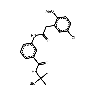 COc1ccc(Cl)cc1CC(=O)Nc1cccc(C(=O)NC(C)(C)C(C)(C)C)c1